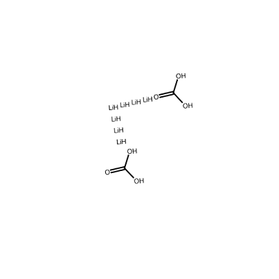 O=C(O)O.O=C(O)O.[LiH].[LiH].[LiH].[LiH].[LiH].[LiH].[LiH]